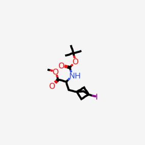 COC(=O)C(CC12CC(I)(C1)C2)NC(=O)OC(C)(C)C